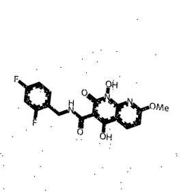 COc1ccc2c(O)c(C(=O)NCc3ccc(F)cc3F)c(=O)n(O)c2n1